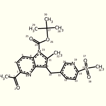 CC(=O)c1ccc2c(n1)c(Cc1ccc(S(C)(=O)=O)nc1)c(C)n2C(=O)OC(C)(C)C